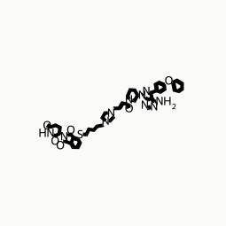 Nc1ncnc2c1c(-c1ccc(Oc3ccccc3)cc1)nn2C1CCCN(C(=O)/C=C/CN2CCN(CCCCCSc3cccc4c3C(=O)N(C3CCC(=O)NC3=O)C4=O)CC2)C1